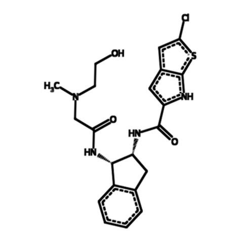 CN(CCO)CC(=O)N[C@H]1c2ccccc2C[C@H]1NC(=O)c1cc2cc(Cl)sc2[nH]1